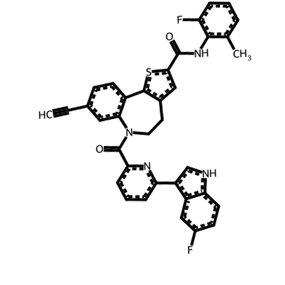 C#Cc1ccc2c(c1)N(C(=O)c1cccc(-c3c[nH]c4ccc(F)cc34)n1)CCc1cc(C(=O)Nc3c(C)cccc3F)sc1-2